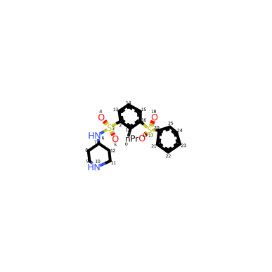 CCCc1c(S(=O)(=O)NC2CCNCC2)cccc1S(=O)(=O)c1ccccc1